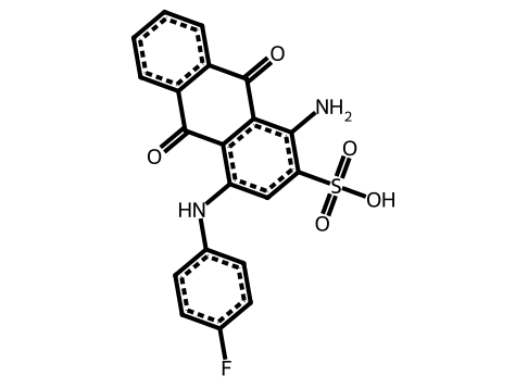 Nc1c(S(=O)(=O)O)cc(Nc2ccc(F)cc2)c2c1C(=O)c1ccccc1C2=O